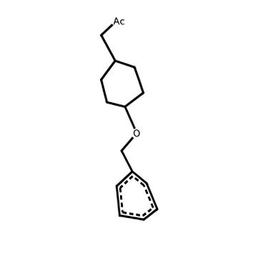 CC(=O)CC1CCC(OCc2ccccc2)CC1